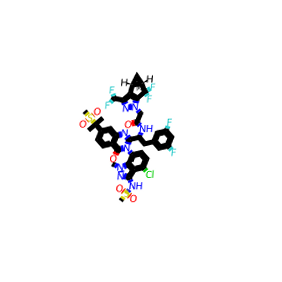 Cn1nc(NS(C)(=O)=O)c2c(Cl)ccc(-n3c(C(Cc4cc(F)cc(F)c4)NC(=O)Cn4nc(C(F)F)c5c4C(F)(F)[C@@H]4C[C@H]54)nc4cc(C(C)(C)S(C)(=O)=O)ccc4c3=O)c21